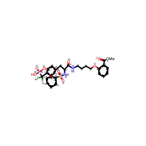 COC(=O)c1ccccc1OCCCCNC(=O)C(Cc1ccc(C(F)(F)P(=O)(O)O)cc1)NS(=O)(=O)c1ccccc1